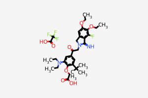 CCOc1cc2c(c(F)c1OCC)C(=N)N(CC(=O)c1cc(N(CC)CC)c(OCC(=O)O)c(C(C)(C)C)c1)C2.O=C(O)C(F)(F)F